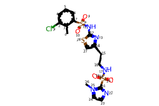 Cc1c(Cl)cccc1S(=O)(=O)Nc1nc(CCNS(=O)(=O)c2nccn2C)cs1